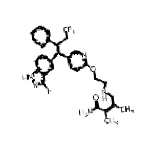 CC(CNCCOc1ccc(C(=C(CC(F)(F)F)c2ccccc2)c2ccc3[nH]nc(F)c3c2)cn1)=C(C)C(N)=O